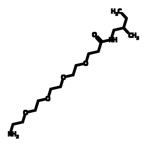 CCC(C)CNC(=O)CCOCCOCCOCCOCCN